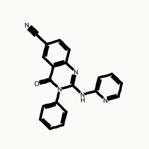 N#Cc1ccc2nc(Nc3ccccn3)n(-c3ccccc3)c(=O)c2c1